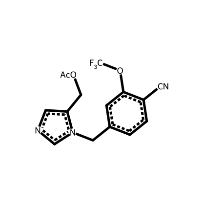 CC(=O)OCc1cncn1Cc1ccc(C#N)c(OC(F)(F)F)c1